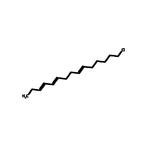 CCC=CC=CCCC=CCCCCCCl